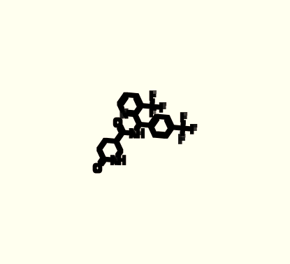 O=C1CCC(C(=O)NC(c2ccc(C(F)(F)F)cc2)c2ncccc2C(F)(F)F)CN1